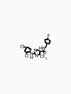 O=C(NCc1ccc(F)cc1)c1cnc(Nc2ccc(Cl)cc2Cl)nc1C(F)(F)F